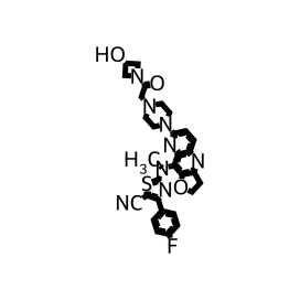 CN(c1nc(-c2ccc(F)cc2)c(C#N)s1)c1c2c(nc3ccc(N4CCN(CC(=O)N5CC(O)C5)CC4)nc13)CCO2